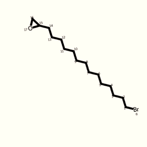 BrCCCCCCCCCCCCCCC1CO1